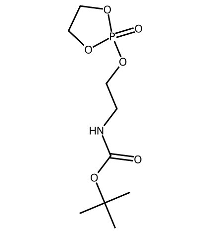 CC(C)(C)OC(=O)NCCOP1(=O)OCCO1